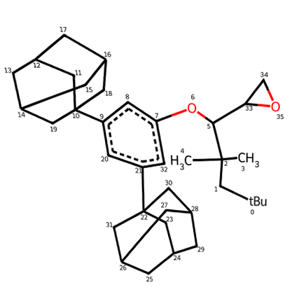 CC(C)(C)CC(C)(C)C(Oc1cc(C23CC4CC(CC(C4)C2)C3)cc(C23CC4CC(CC(C4)C2)C3)c1)C1CO1